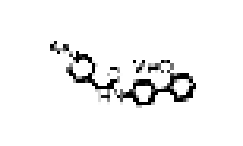 COc1ccccc1-c1ccc(NC(=O)CC2CCN(C(C)=O)CC2)cc1